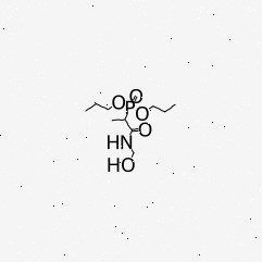 CCCOP(=O)(OCCC)C(C)C(=O)NCO